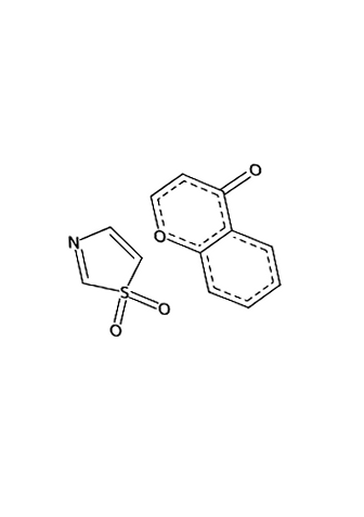 O=S1(=O)C=CN=C1.O=c1ccoc2ccccc12